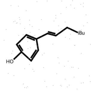 CCC(C)C/C=C/c1ccc(O)cc1